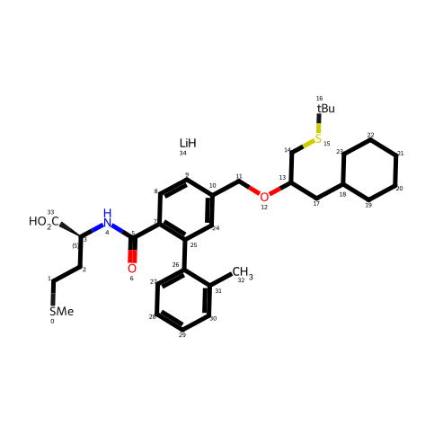 CSCC[C@H](NC(=O)c1ccc(COC(CSC(C)(C)C)CC2CCCCC2)cc1-c1ccccc1C)C(=O)O.[LiH]